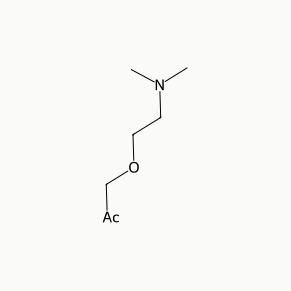 CC(=O)COCCN(C)C